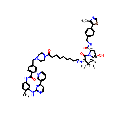 Cc1ccc(NC(=O)c2ccc(CN3CCN(C(=O)CCCCCCCCN[C@H](C(=O)N4C[C@H](O)C[C@H]4C(=O)NCc4ccc(-c5scnc5C)cc4)C(C)(C)C)CC3)cc2)cc1Nc1nccc(-c2cccnc2)n1